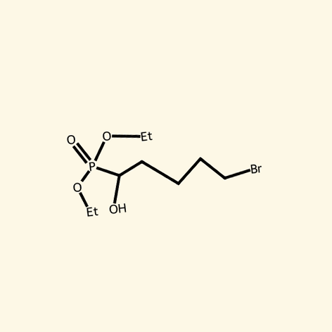 CCOP(=O)(OCC)C(O)CCCCBr